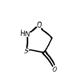 O=C1CONS1